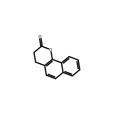 O=C1CCc2ccc3ccccc3c2O1